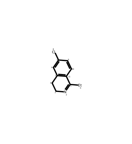 CCC1=NCCc2cc(Cl)ccc21